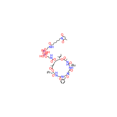 C/C=C(\C)[C@H]1OC(=O)[C@@H](C)NC(=O)[C@H](C(C)CC)NC(=O)CN(C)C(=O)[C@@H](Cc2ccccc2)N(C)C(=O)[C@H](C)NC(=O)[C@@H](CC(C)C)OC(=O)/C(C)=C/C[C@H](OC(=O)NCCOP(=O)(O)OP(=O)(O)OCCNC(=O)CCCCCCN2C(=O)CC(C)C2=O)[C@@H]1C